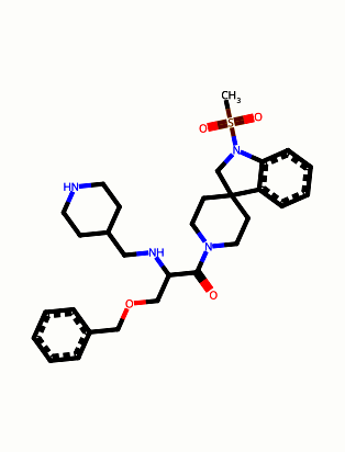 CS(=O)(=O)N1CC2(CCN(C(=O)C(COCc3ccccc3)NCC3CCNCC3)CC2)c2ccccc21